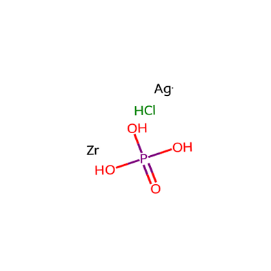 Cl.O=P(O)(O)O.[Ag].[Zr]